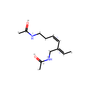 C/C=C(\C=C/CCNC(C)=O)CNC(C)=O